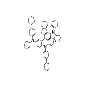 c1ccc(-c2ccc(N(c3ccccc3)c3ccc(N(c4ccccc4)c4ccc(-c5ccccc5)cc4)c(-c4cc5c6ccccc6n(-c6ccccc6)c5c5c4sc4ccccc45)c3)cc2)cc1